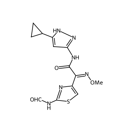 CON=C(C(=O)Nc1cc(C2CC2)[nH]n1)c1csc(NC=O)n1